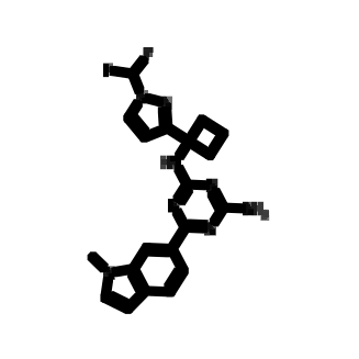 Cn1ccc2ccc(-c3nc(N)nc(NC4(c5ccn(C(F)F)n5)CCC4)n3)cc21